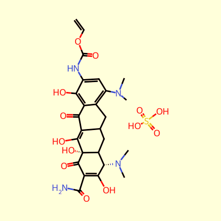 C=COC(=O)Nc1cc(N(C)C)c2c(c1O)C(=O)C1=C(O)[C@]3(O)C(=O)C(C(N)=O)=C(O)[C@@H](N(C)C)C3CC1C2.O=S(=O)(O)O